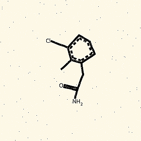 Cc1c(Cl)cccc1CC(N)=O